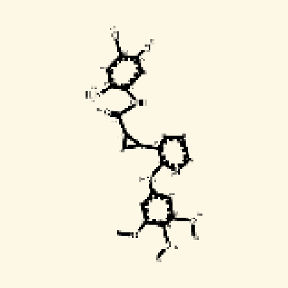 COc1cc(Nc2ncccc2C2CC2C(=O)Nc2cc(Cl)c(Cl)cc2N)cc(OC)c1OC